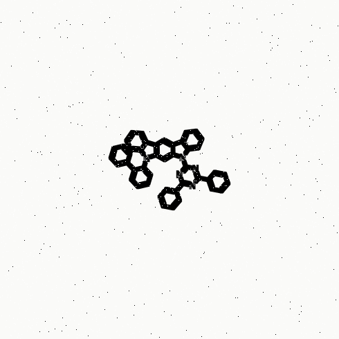 c1ccc(-c2nc(-c3ccccc3)nc(-n3c4ccccc4c4cc5c6ccccc6n(-c6ccccc6-c6ccccc6)c5cc43)n2)cc1